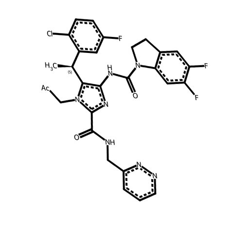 CC(=O)Cn1c(C(=O)NCc2cccnn2)nc(NC(=O)N2CCc3cc(F)c(F)cc32)c1[C@@H](C)c1cc(F)ccc1Cl